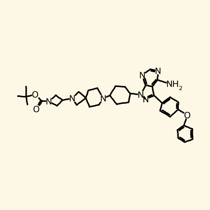 CC(C)(C)OC(=O)N1CC(N2CC3(CCN(C4CCC(n5nc(-c6ccc(Oc7ccccc7)cc6)c6c(N)ncnc65)CC4)CC3)C2)C1